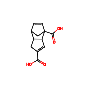 O=C(O)C1=CC2C(C1)C1C=CC2(C(=O)O)C1